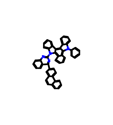 c1ccc(-n2c3ccccc3c3c4c5ccccc5n(-c5nc(-c6ccc7c(ccc8ccccc87)c6)c6ccccc6n5)c4c4ccccc4c32)cc1